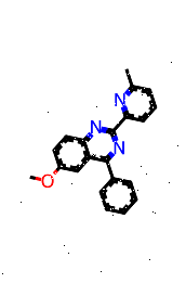 COc1ccc2nc(-c3cccc(C)n3)nc(-c3ccccc3)c2c1